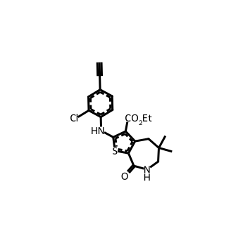 C#Cc1ccc(Nc2sc3c(c2C(=O)OCC)CC(C)(C)CNC3=O)c(Cl)c1